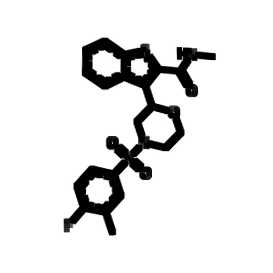 CNC(=O)c1sc2ccccc2c1C1CN(S(=O)(=O)c2ccc(F)c(C)c2)CCO1